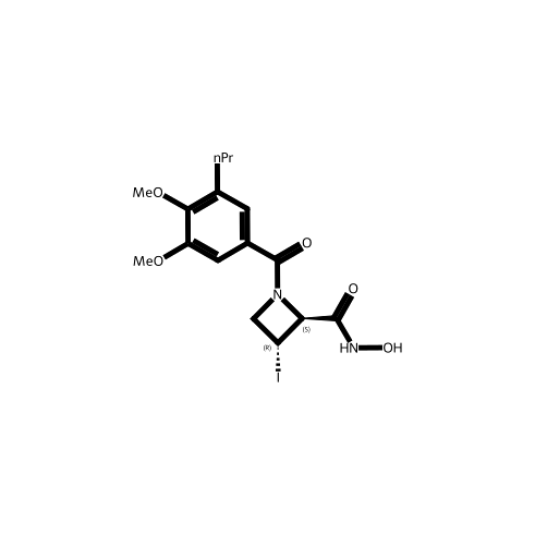 CCCc1cc(C(=O)N2C[C@@H](I)[C@@H]2C(=O)NO)cc(OC)c1OC